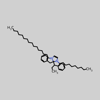 CCCCCCCCCCCCCCCCN1C=CN(CCCCCCCCCC)C1(Cc1ccccc1)C(CC)c1ccccc1